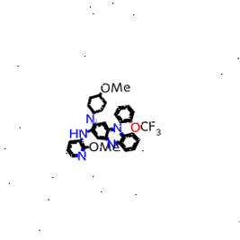 COc1ncccc1Nc1cc2nc3ccccc3n(-c3ccccc3OC(F)(F)F)c-2c/c1=N\C1CCC(OC)CC1